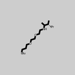 CC(C)[C@@H](C)C(C)NCCOCCOCCCC(C)(C)C